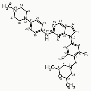 CC1CN(Cc2c(F)cc(-n3ccc4cnc(Nc5ccc(N6CCN(C)CC6)nc5)nc43)cc2F)CC(C)O1